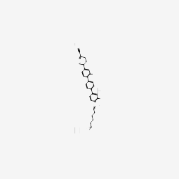 CC#CC1CCC(c2ccc(-c3ccc(-c4ccc(OCCCCCCC)c(F)c4F)cc3)c(F)c2)CO1